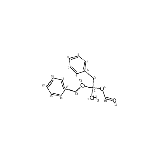 CC(Cc1ccccc1)(O[C]=O)OCc1ccccc1